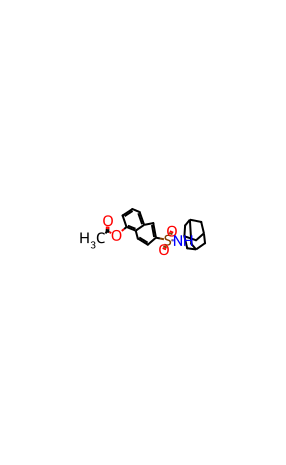 CC(=O)Oc1cccc2cc(S(=O)(=O)NC34CC5CC(CC(C5)C3)C4)ccc12